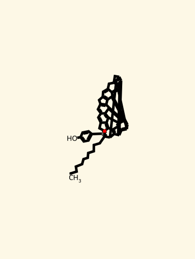 CCCCCCCCCCCC1C2C3C=C4CC5Cc6cc7c8c9c(cc%10cc%11c%12c(c%13c3c3c%14c%15c(c6c8c%15c6c9c%10c%12c6c%13%14)C5C=34)C2(C%11)CN1c1ccc(O)cc1)C7